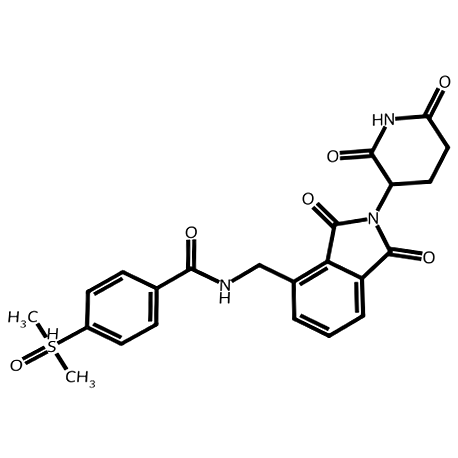 C[SH](C)(=O)c1ccc(C(=O)NCc2cccc3c2C(=O)N(C2CCC(=O)NC2=O)C3=O)cc1